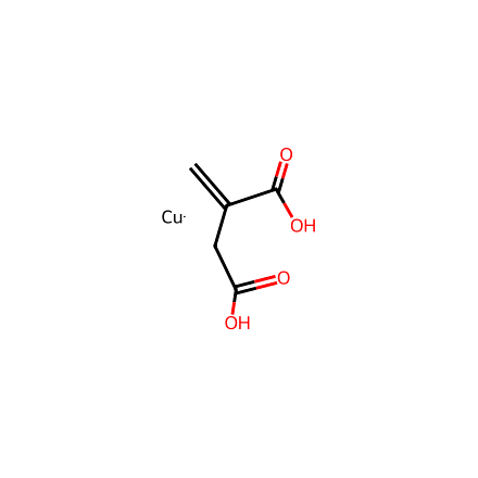 C=C(CC(=O)O)C(=O)O.[Cu]